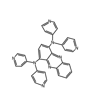 c1ccc2nc3c(N(c4ccncc4)c4ccncc4)ccc(N(c4ccncc4)c4ccncc4)c3nc2c1